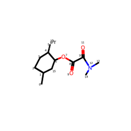 CC1CCC(C(C)C)C(OC(=O)C(=O)N(C)C)C1